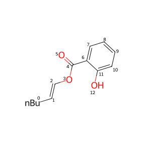 CCCCC=COC(=O)c1ccccc1O